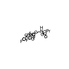 CC(C)C[C@H](NCCCOc1cc(F)c(-n2c(N)c(C(=O)c3ccc(F)cc3F)ccc2=O)c(F)c1)C(=O)OC1CCCC1